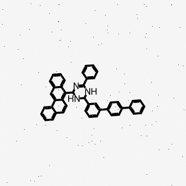 c1ccc(C2=NC(c3c4ccccc4cc4c3ccc3ccccc34)NC(c3cccc(-c4ccc(-c5ccccc5)cc4)c3)N2)cc1